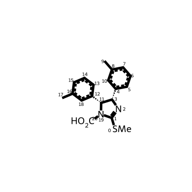 CSC1=N[C@@H](c2cccc(C)c2)[C@@H](c2cccc(C)c2)N1C(=O)O